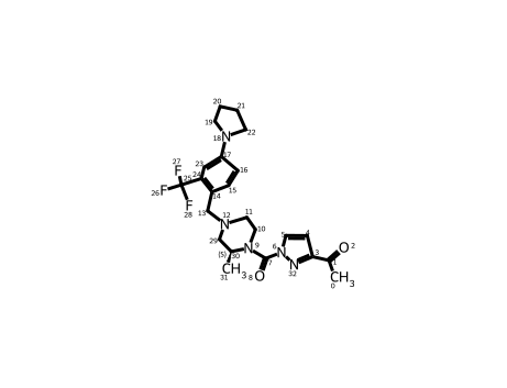 CC(=O)c1ccn(C(=O)N2CCN(Cc3ccc(N4CCCC4)cc3C(F)(F)F)C[C@@H]2C)n1